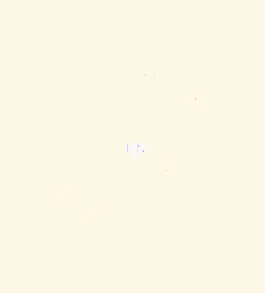 CC1=C(C(=O)Nc2ccc3c(c2)COCO3)C(c2ccccc2Cl)=COC1